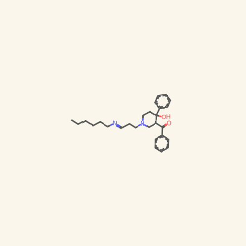 CCCCCCN=CCCN1CCC(O)(c2ccccc2)C(C(=O)c2ccccc2)C1